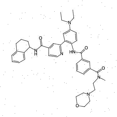 CCN(CC)c1ccc(NC(=O)c2cccc(C(=O)N(C)CCN3CCOCC3)c2)c(-c2cc(C(=O)NC3CCCc4ccccc43)ccn2)c1